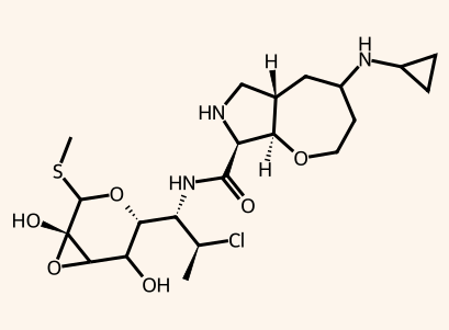 CSC1O[C@H]([C@H](NC(=O)[C@H]2NC[C@@H]3CC(NC4CC4)CCO[C@H]32)[C@H](C)Cl)C(O)C2O[C@]12O